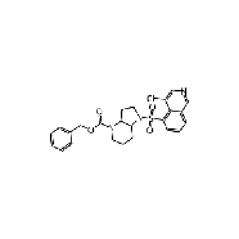 O=C(OCc1ccccc1)N1CCCC2C1CCN2S(=O)(=O)c1cccc2cncc(Cl)c12